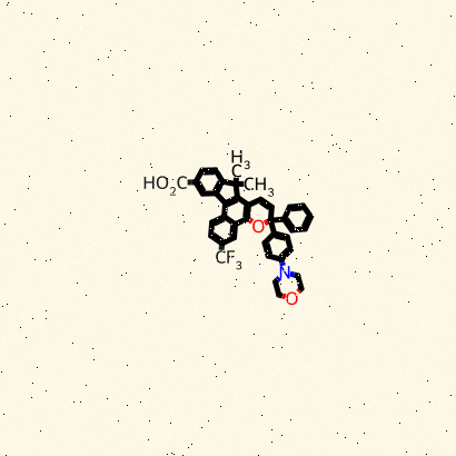 CC1(C)c2ccc(C(=O)O)cc2-c2c1c1c(c3cc(C(F)(F)F)ccc23)OC(c2ccccc2)(c2ccc(N3CCOCC3)cc2)C=C1